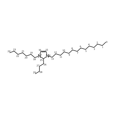 CCCCCCCCCCCCCCN1C=CN(CCCCCCC)C1CCCC